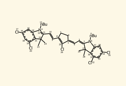 CCCCN1/C(=C/C=C2\CCC(/C=C/C3=[N+](CCCC)c4cc(Cl)cc(Cl)c4C3(C)C)=C2Cl)C(C)(C)c2c(Cl)cc(Cl)cc21